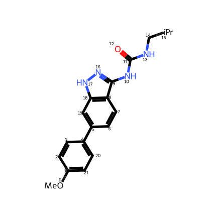 COc1ccc(-c2ccc3c(NC(=O)NCC(C)C)n[nH]c3c2)cc1